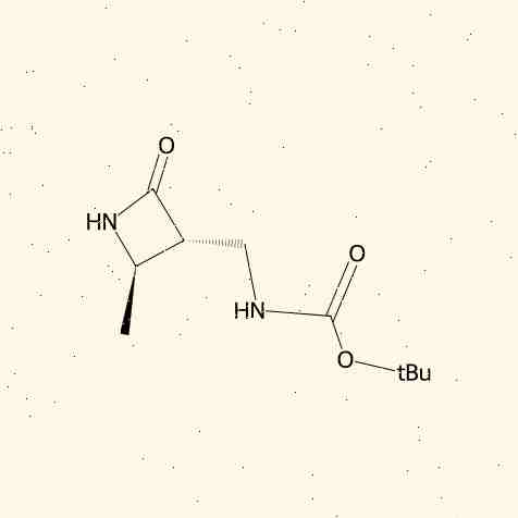 C[C@H]1NC(=O)[C@@H]1CNC(=O)OC(C)(C)C